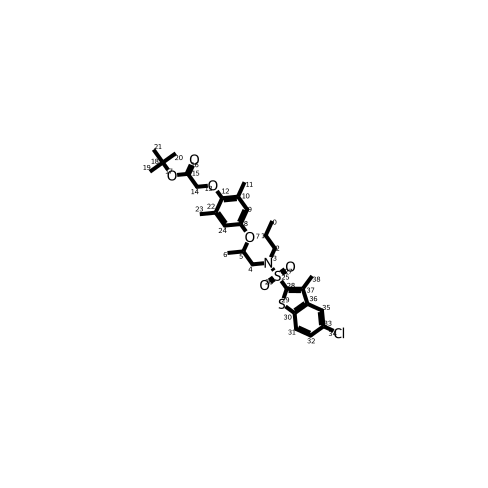 CCCN(CC(C)Oc1cc(C)c(OCC(=O)OC(C)(C)C)c(C)c1)S(=O)(=O)c1sc2ccc(Cl)cc2c1C